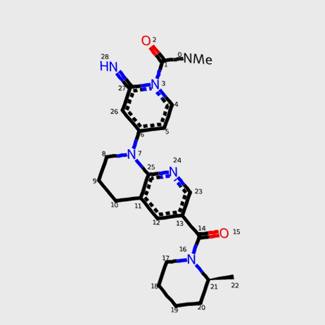 CNC(=O)n1ccc(N2CCCc3cc(C(=O)N4CCCC[C@@H]4C)cnc32)cc1=N